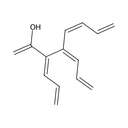 C=C\C=C/C(=C/C=C)C(=C\C=C)/C(=C)O